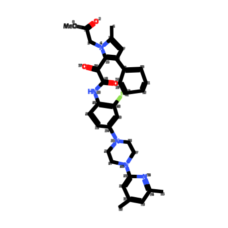 COC(=O)Cn1c(C)cc(-c2ccccc2)c1C(=O)C(=O)Nc1ccc(N2CCN(c3cc(C)cc(C)n3)CC2)cc1F